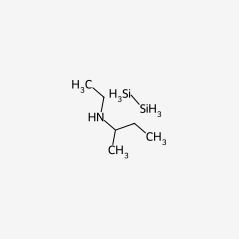 CCNC(C)CC.[SiH3][SiH3]